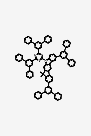 CC1(C)c2cc(-c3cc(-c4ccccc4)cc(-c4ccccc4)c3)ccc2-c2cc3c4cc(-c5cc(-c6ccccc6)cc(-c6ccccc6)c5)ccc4n(-c4nc(-c5cc(-c6ccccc6)cc(-c6ccccc6)c5)nc(-c5cc(-c6ccccc6)cc(-c6ccccc6)c5)n4)c3cc21